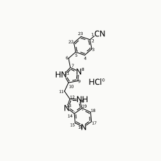 Cl.N#Cc1ccc(Cc2ncc(Cc3nc4cnccc4[nH]3)[nH]2)cc1